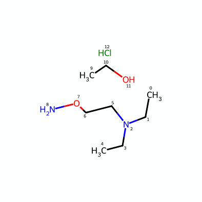 CCN(CC)CCON.CCO.Cl